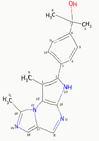 Cc1c(-c2ccc(C(C)(C)O)cc2)[nH]c2ncc3cnc(C)n3c12